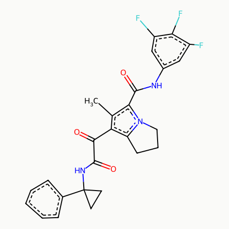 Cc1c(C(=O)C(=O)NC2(c3ccccc3)CC2)c2n(c1C(=O)Nc1cc(F)c(F)c(F)c1)CCC2